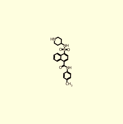 Cc1ccc(NC(=O)c2ccc(S(=O)(=O)NC3CCNCC3)c3ccccc23)cc1